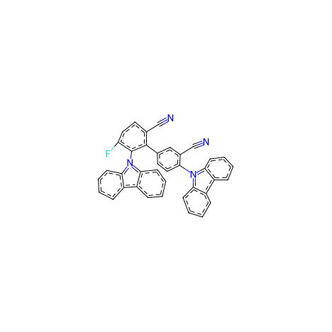 N#Cc1cc(-c2c(C#N)ccc(F)c2-n2c3ccccc3c3ccccc32)ccc1-n1c2ccccc2c2ccccc21